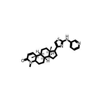 CN1C(=O)C=C[C@@]2(C)C1CC[C@@H]1[C@H]2CC[C@]2(C)C(c3csc(Nc4cccnc4)n3)CC[C@@H]12